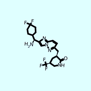 N[C@H](c1cn2nc(C[C@@H]3C[C@H](C(F)(F)F)CNC3=O)ccc2n1)C1CCC(F)(F)CC1